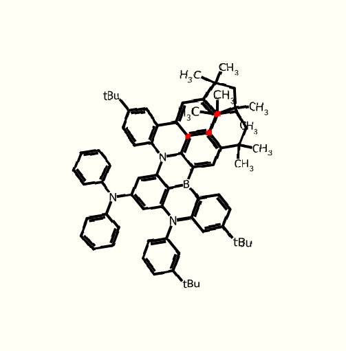 CC(C)(C)c1cccc(N2c3cc(C(C)(C)C)ccc3B3c4cc5c(cc4N(c4ccc(C(C)(C)C)cc4-c4ccc6c(c4)C(C)(C)CC6(C)C)c4cc(N(c6ccccc6)c6ccccc6)cc2c43)C(C)(C)CCC5(C)C)c1